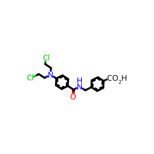 O=C(O)c1ccc(CNC(=O)c2ccc(N(CCCl)CCCl)cc2)cc1